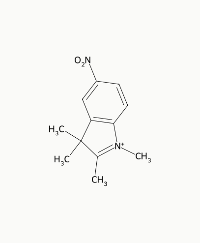 CC1=[N+](C)c2ccc([N+](=O)[O-])cc2C1(C)C